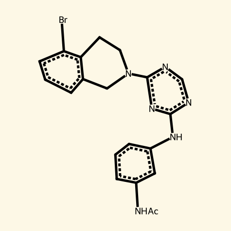 CC(=O)Nc1cccc(Nc2ncnc(N3CCc4c(Br)cccc4C3)n2)c1